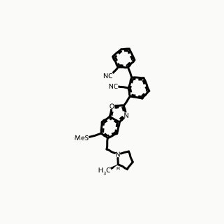 CSc1cc2oc(-c3cccc(-c4ccccc4C#N)c3C#N)nc2cc1CN1CCC[C@H]1C